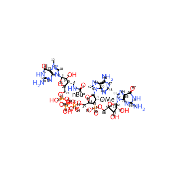 CCCCC(=O)NC[C@H]1[C@@H](O)[C@H](n2c[n+](C)c3c(=O)[nH]c(N)nc32)O[C@@H]1COP(=O)(O)OP(=O)(O)OP(=O)(O)OC[C@H]1O[C@@H](n2cnc3c(N)ncnc32)[C@H](OC)[C@@H]1P(=O)([O-])OC[C@H]1O[C@@H](n2cnc3c(=O)[nH]c(N)nc32)[C@H](O)[C@@H]1O